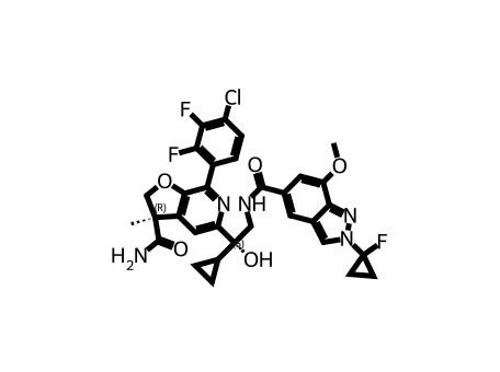 COc1cc(C(=O)NC[C@](O)(c2cc3c(c(-c4ccc(Cl)c(F)c4F)n2)OC[C@]3(C)C(N)=O)C2CC2)cc2cn(C3(F)CC3)nc12